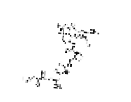 COC1C(OC(=O)N2CCC[C@H]2COC(=O)NC(=O)CN(C)CCNC(=O)CN)CC[C@]2(CO2)C1C1(C)O[C@@H]1CC=C(C)C